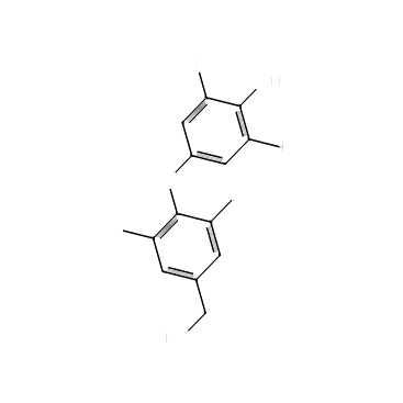 O=[C]Cc1cc(I)c(Oc2cc(I)c(O)c(I)c2)c(I)c1